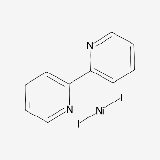 [I][Ni][I].c1ccc(-c2ccccn2)nc1